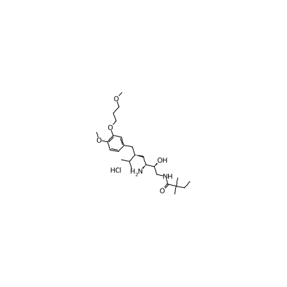 CCC(C)(C)C(=O)NC[C@H](O)[C@@H](N)C[C@H](Cc1ccc(OC)c(OCCCOC)c1)C(C)C.Cl